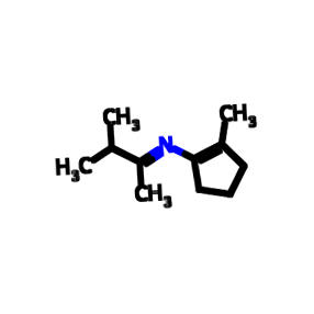 CC1=C(/N=C(\C)C(C)C)CCC1